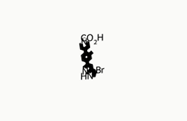 Cc1cc(-c2cnc3[nH]cc(Br)c3c2)ccc1C1=CCN(C(=O)O)CC1